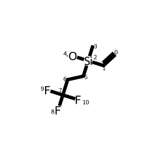 C=C[Si](C)([O])CCC(F)(F)F